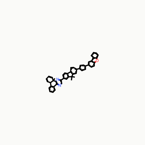 CC1(C)c2cc(-c3ccc(-c4ccc5oc6ccccc6c5c4)cc3)ccc2-c2ccc(-c3cnc4c(n3)C3(C)C=CC=CC3c3ccccc3-4)cc21